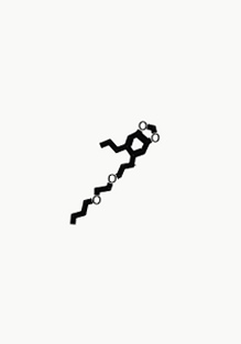 CCCCOCCOCC[CH]c1cc2c(cc1CCC)OCO2